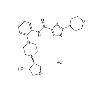 Cl.O=C(Nc1ccccc1N1CCN([C@H]2COC[C@@H]2O)CC1)c1csc(N2CCOCC2)n1